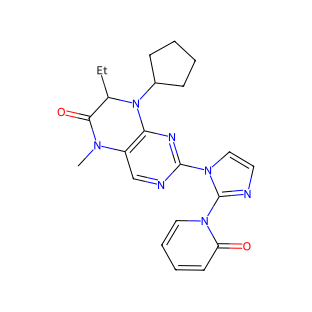 CCC1C(=O)N(C)c2cnc(-n3ccnc3-n3ccccc3=O)nc2N1C1CCCC1